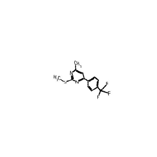 CSc1nc(C)cc(-c2ccc(C(F)(F)F)cc2)n1